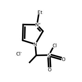 CC[n+]1ccn(C(C)S(=O)(=O)Cl)c1.[Cl-]